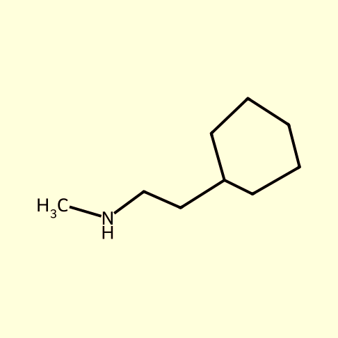 CNCCC1CCCCC1